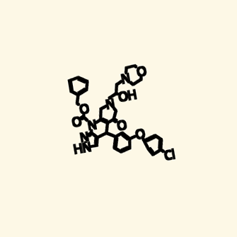 O=C1CN(CC(O)CN2CCOCC2)CC2=C1C(c1cccc(Oc3ccc(Cl)cc3)c1)c1c[nH]nc1N2C(=O)OCc1ccccc1